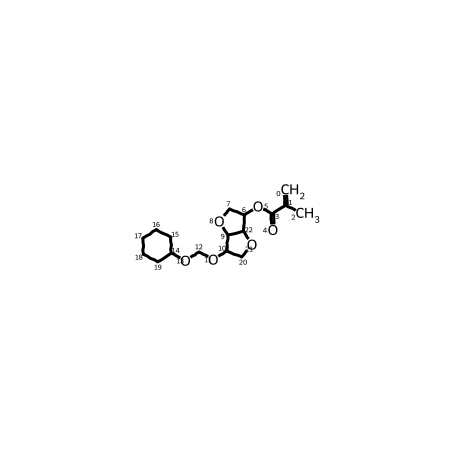 C=C(C)C(=O)OC1COC2C(OCOC3CCCCC3)COC12